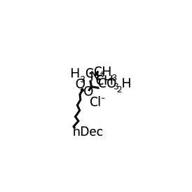 CCCCCCCCCCCCCCCCCC(=O)OC(CC(=O)O)C[N+](C)(C)C.[Cl-]